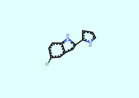 Clc1ccc2[nH]c(-c3ccc[nH]3)cc2c1